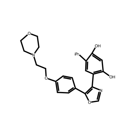 CC(C)c1cc(-c2ncoc2-c2ccc(OCCN3CCOCC3)cc2)c(O)cc1O